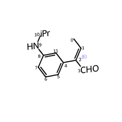 C/C=C(/C=O)c1cccc(NC(C)C)c1